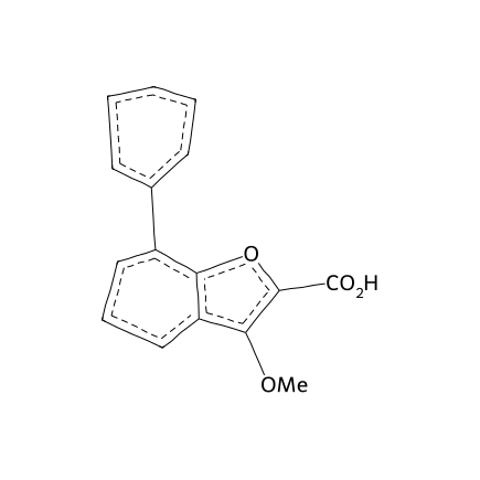 COc1c(C(=O)O)oc2c(-c3ccccc3)cccc12